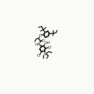 CCC(Oc1ccc(C(C)(C)CC)cc1C(C)(C)CC)C(=O)Nc1cc(Cl)c([Si](CC)(CC)CC)c(Cl)c1O